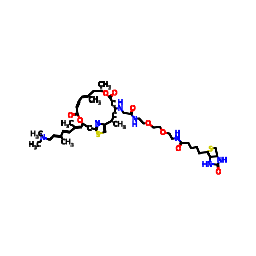 CC(/C=C/C(C)=C/C1Cc2nc(cs2)[C@@H](C)CC(NCC(=O)NCCOCCOCCNC(=O)CCCCC2SCC3NC(=O)NC32)CC(=O)O[C@@H](C)C/C(C)=C/C=C\C(=O)O1)=C\CN(C)C